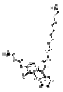 CCCCCCCCCCCCCCC(=O)N1CCCCC1CNC(=O)C(N)CCCCN